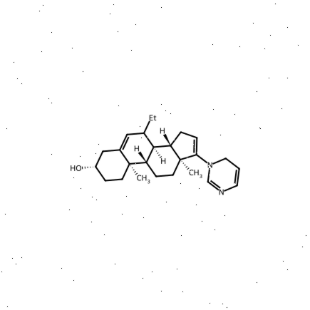 CCC1C=C2C[C@@H](O)CC[C@]2(C)[C@H]2CC[C@]3(C)C(N4C=NC=CC4)=CC[C@H]3[C@H]12